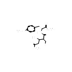 CNC(=O)[C@H](Cc1ccc(OC)cc1)NC(=O)C(CC(C)C)C(S)CC(=O)OC